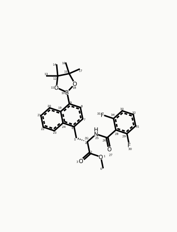 COC(=O)[C@H](Cc1ccc(B2OC(C)(C)C(C)(C)O2)c2ccccc12)NC(=O)c1c(F)cccc1F